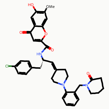 COc1cc2oc(C(=O)N[C@H](C=C3CCN(c4ccccc4CN4CCCCC4=O)CC3)Cc3ccc(Cl)cc3)cc(=O)c2cc1O